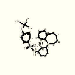 O=S(=O)(NC1CCCC(N2CCCCc3ccccc32)[C@@H]1O)c1ccc(OC(F)(F)F)cc1